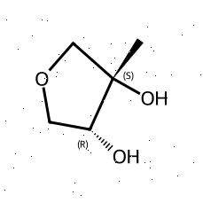 C[C@]1(O)COC[C@H]1O